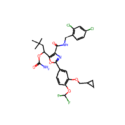 CC(C)(C)CC(OC(N)=O)c1oc(-c2ccc(OC(F)F)c(OCC3CC3)c2)nc1C(=O)NCc1ccc(Cl)cc1Cl